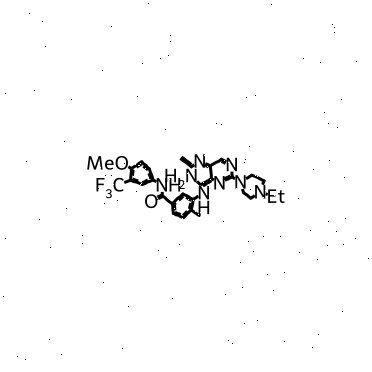 C=C/N=C1/C=NC(N2CCN(CC)CC2)=N/C1=C(/N)Nc1cc(C(=O)Nc2ccc(OC)c(C(F)(F)F)c2)ccc1C